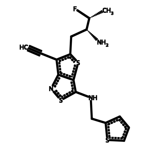 C#Cc1c(C[C@@H](N)[C@@H](C)F)sc2c(NCc3cccs3)snc12